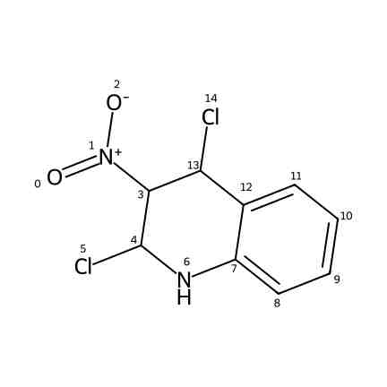 O=[N+]([O-])C1C(Cl)Nc2ccccc2C1Cl